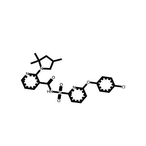 CC1CN(c2ncccc2C(=O)NS(=O)(=O)c2cccc(Oc3ccc(Cl)cc3)n2)C(C)(C)C1